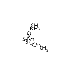 CCc1ccc(CC2SC(=S)N(N3CCC(CNC)CC3)C2=O)cc1